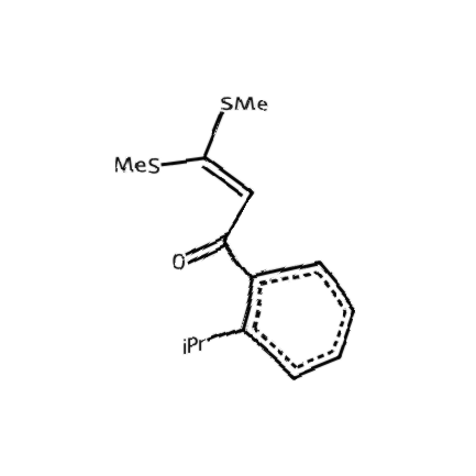 CSC(=CC(=O)c1ccccc1C(C)C)SC